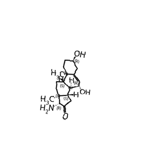 C[C@]12CC[C@H]3[C@@H]([C@@H](O)C=C4C[C@H](O)CC[C@@]43C)[C@@H]1CC(=O)[C@@H]2N